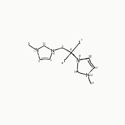 CN1C=CN(CC(I)(I)N2C=CN(C)C2)C1